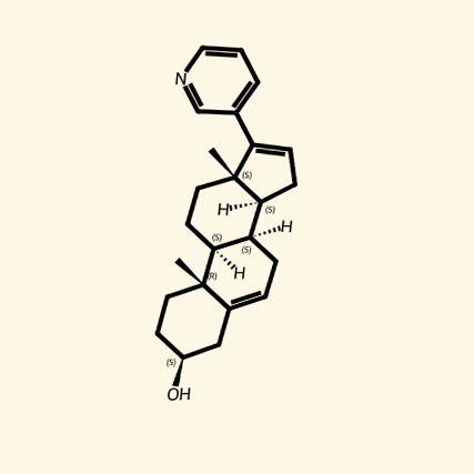 C[C@]12CC[C@H](O)CC1=CC[C@H]1[C@@H]2CC[C@]2(C)C(c3cccnc3)=CC[C@@H]12